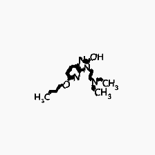 CCCCOc1ccc2nc(O)n(CCN(CC)CC)c2n1